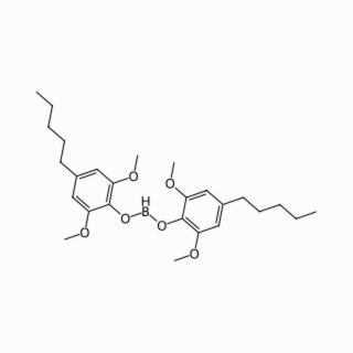 CCCCCc1cc(OC)c(OBOc2c(OC)cc(CCCCC)cc2OC)c(OC)c1